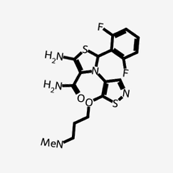 CNCCCOc1sncc1N1C(C(N)=O)=C(N)SC1c1c(F)cccc1F